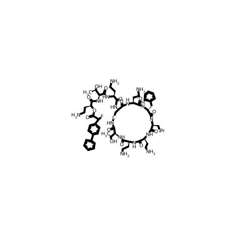 CC(C)C[C@@H]1NC(=O)[C@@H](Cc2ccccc2)NC(=O)[C@H](CCN)NC(=O)[C@@H](NC(=O)[C@H](CCN)NC(=O)[C@@H](NC(=O)[C@H](CCN)OC(=O)C(F)c2ccc(-c3ccccc3)cc2)[C@@H](C)O)CCNC(=O)[C@H]([C@@H](C)O)NC(=O)[C@H](CCN)NC(=O)[C@H](CCN)NC1=O